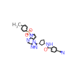 Cc1ccc(S(=O)(=O)n2ccc3c2ncc2nnc([C@@H]4CC[C@H](NC(=O)c5ccc(C#N)cc5)C4)n23)cc1